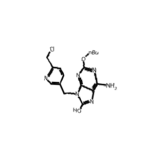 CCCCOc1nc(N)c2nc(O)n(Cc3ccc(CCl)nc3)c2n1